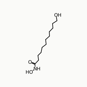 O=C(CCCCCCCCCCCO)NO